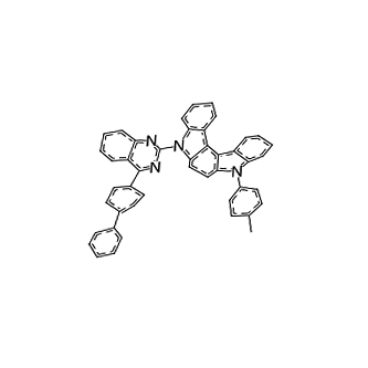 Cc1ccc(-n2c3ccccc3c3c4c5ccccc5n(-c5nc(-c6ccc(-c7ccccc7)cc6)c6ccccc6n5)c4ccc32)cc1